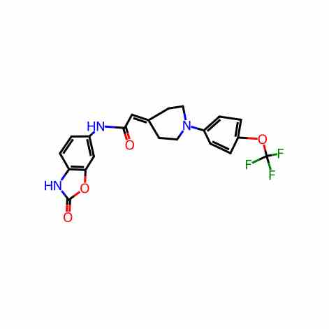 O=C(C=C1CCN(c2ccc(OC(F)(F)F)cc2)CC1)Nc1ccc2[nH]c(=O)oc2c1